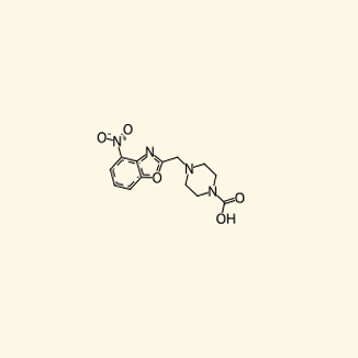 O=C(O)N1CCN(Cc2nc3c([N+](=O)[O-])cccc3o2)CC1